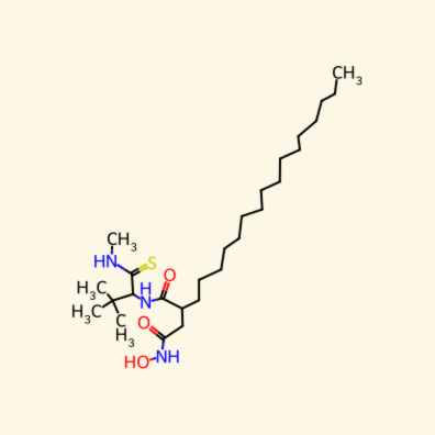 CCCCCCCCCCCCCCCCC(CC(=O)NO)C(=O)NC(C(=S)NC)C(C)(C)C